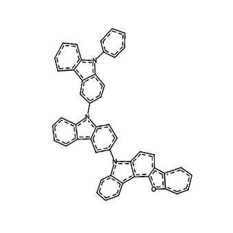 c1ccc(-n2c3ccccc3c3cc(-n4c5ccccc5c5cc(-n6c7ccccc7c7c8oc9ccccc9c8ccc76)ccc54)ccc32)cc1